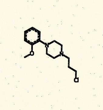 COc1ccccc1N1CCN(CCCCl)CC1